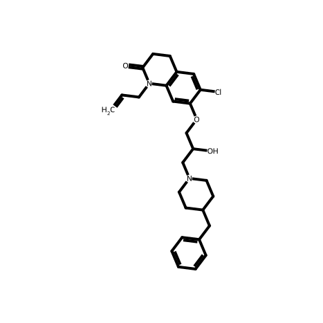 C=CCN1C(=O)CCc2cc(Cl)c(OCC(O)CN3CCC(Cc4ccccc4)CC3)cc21